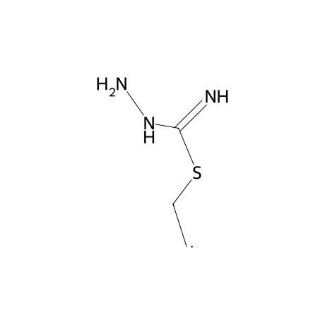 [CH2]CSC(=N)NN